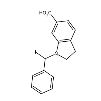 O=C(O)c1ccc2c(c1)N(C(I)c1ccccc1)CC2